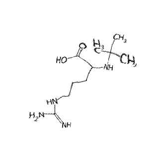 CC(C)(C)NC(CCCNC(=N)N)C(=O)O